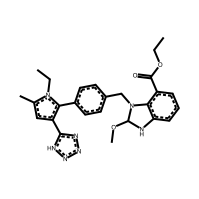 CCOC(=O)c1cccc2c1N(Cc1ccc(-c3c(-c4nnn[nH]4)cc(C)n3CC)cc1)C(OC)N2